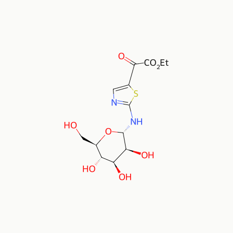 CCOC(=O)C(=O)c1cnc(N[C@H]2O[C@H](CO)[C@@H](O)[C@H](O)[C@@H]2O)s1